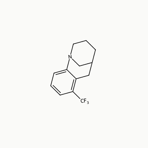 FC(F)(F)c1cccc2c1CC1CCCN2C1